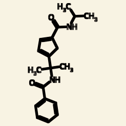 CC(C)NC(=O)C1=CC=C(C(C)(C)NC(=O)c2ccccc2)C1